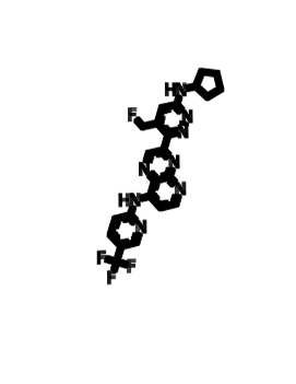 FCc1cc(NC2CCCC2)nnc1-c1cnc2c(Nc3ccc(C(F)(F)F)cn3)ccnc2n1